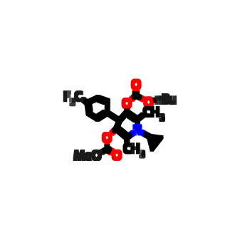 CCCCOC(=O)OC1=C(C)N(C2CC2)C(C)=C(OC(=O)OC)C1c1ccc(C(F)(F)F)cc1